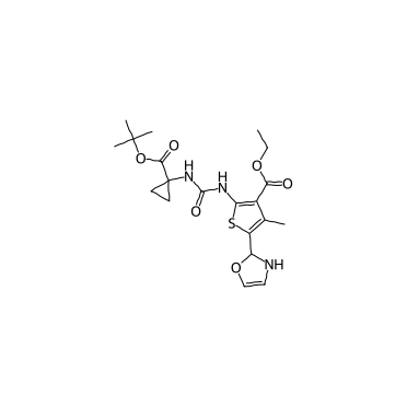 CCOC(=O)c1c(NC(=O)NC2(C(=O)OC(C)(C)C)CC2)sc(C2NC=CO2)c1C